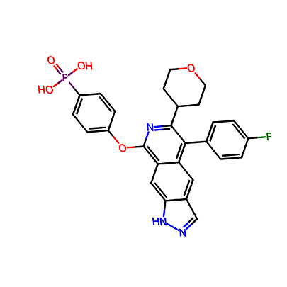 O=P(O)(O)c1ccc(Oc2nc(C3CCOCC3)c(-c3ccc(F)cc3)c3cc4cn[nH]c4cc23)cc1